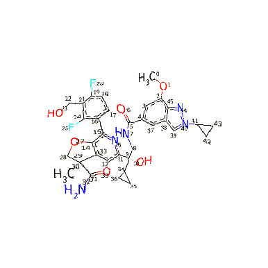 COc1cc(C(=O)NC[C@](O)(c2cc3c(c(-c4ccc(F)c(CO)c4F)n2)OC[C@]3(C)C(N)=O)C2CC2)cc2cn(C3CC3)nc12